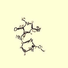 COc1nccc(Nc2cc(Br)cn(C)c2=O)n1